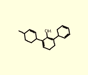 CC1C=CC(C2=CCCC(C3C=CC=CC3)=C2O)CC1